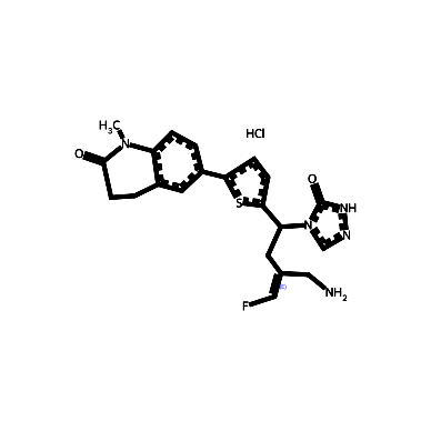 CN1C(=O)CCc2cc(-c3ccc(C(C/C(=C\F)CN)n4cn[nH]c4=O)s3)ccc21.Cl